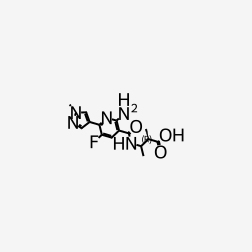 CC(NC(=O)c1cc(F)c(-c2cnn(C)c2)nc1N)[C@@H](C)C(=O)O